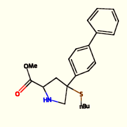 CCCCSC1(c2ccc(-c3ccccc3)cc2)CNC(C(=O)OC)C1